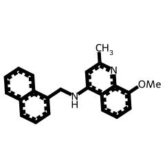 COc1cccc2c(NCc3cccc4ccccc34)cc(C)nc12